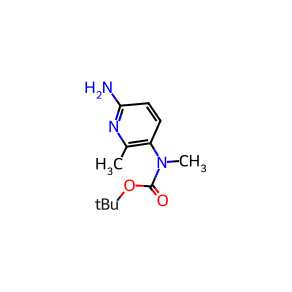 Cc1nc(N)ccc1N(C)C(=O)OC(C)(C)C